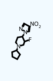 O=[N+]([O-])c1cnn(C2CCN(C3CCCC3)CC2F)c1